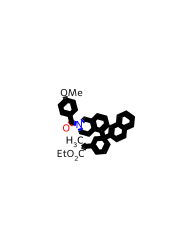 CCOC(=O)C(C)C1=CC=CC(c2ccc3ccccc3c2)(c2cccc3c2CCN(C(=O)c2ccc(OC)cc2)C3)C1